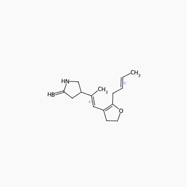 B=C1CC(/C(C)=C/C2=C(C/C=C/C)OCC2)CN1